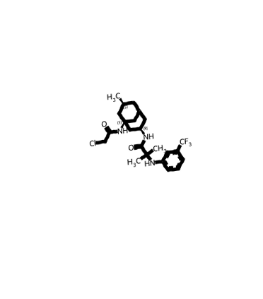 C[C@H]1CC2C[C@@H](NC(=O)C(C)(C)Nc3cccc(C(F)(F)F)c3)C[C@@](NC(=O)CCl)(C2)C1